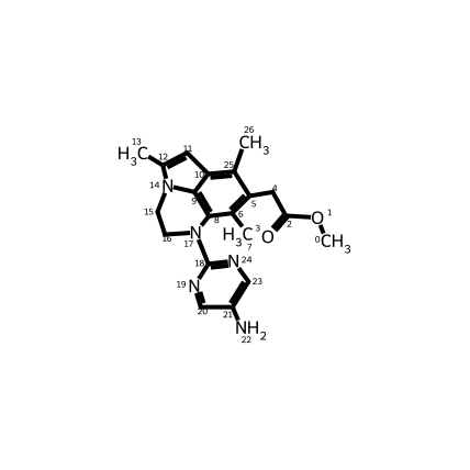 COC(=O)Cc1c(C)c2c3c(cc(C)n3CCN2c2ncc(N)cn2)c1C